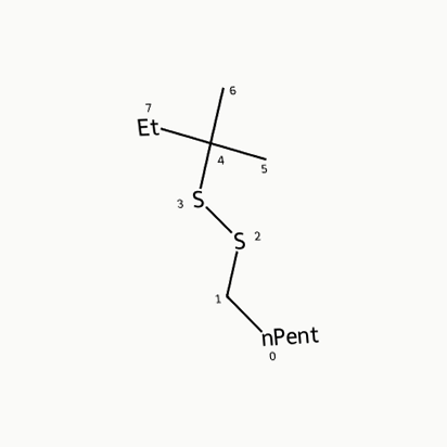 CCCCCCSSC(C)(C)CC